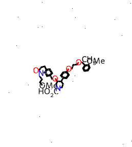 COCCCN1C(=O)CCc2ccc(COC3CN(C(=O)O)CCC3c3ccc(OCCCOC(C)c4ccccc4OC)cc3)cc21